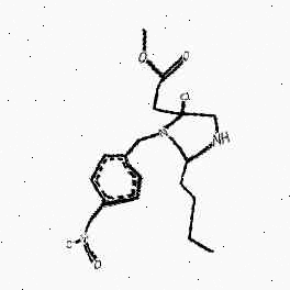 CCCCC1NCC(Cl)(CC(=O)OC)N1Cc1ccc([N+](=O)[O-])cc1